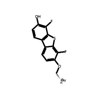 CC[C@@H](C)COc1ccc2c(sc3c(F)c(O)ccc32)c1F